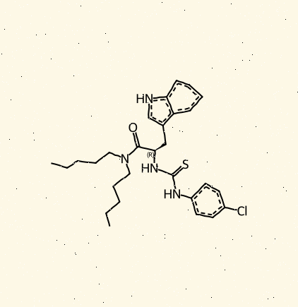 CCCCCN(CCCCC)C(=O)[C@@H](Cc1c[nH]c2ccccc12)NC(=S)Nc1ccc(Cl)cc1